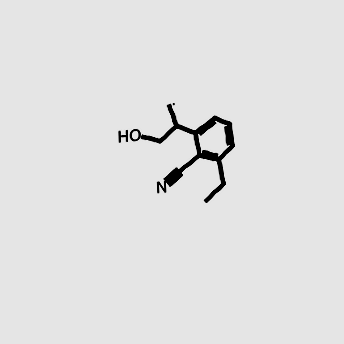 [CH2]C(CO)c1cccc(CC)c1C#N